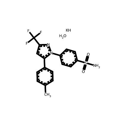 Cc1ccc(-c2cc(C(F)(F)F)nn2-c2ccc(S(N)(=O)=O)cc2)cc1.O.[KH]